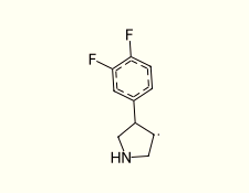 Fc1ccc(C2[CH]CNC2)cc1F